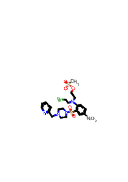 CS(=O)(=O)OCCN(CCBr)c1ccc([N+](=O)[O-])cc1S(=O)(=O)N1CCN(Cc2ccccn2)CC1